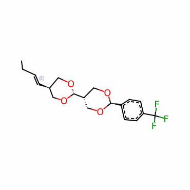 CC/C=C/[C@H]1CO[C@H]([C@H]2CO[C@H](c3ccc(C(F)(F)F)cc3)OC2)OC1